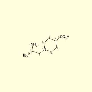 CC(C)(C)C(N)CN1CCC(C(=O)O)CC1